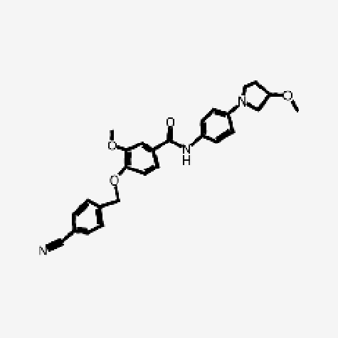 COc1cc(C(=O)Nc2ccc(N3CCC(OC)C3)cc2)ccc1OCc1ccc(C#N)cc1